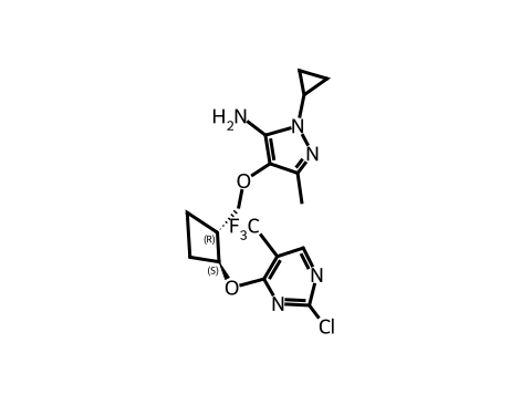 Cc1nn(C2CC2)c(N)c1OC[C@H]1CC[C@@H]1Oc1nc(Cl)ncc1C(F)(F)F